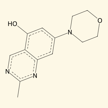 Cc1ncc2c(O)cc(N3CCOCC3)cc2n1